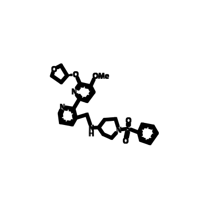 COc1ccc(-c2ncccc2CNC2CCN(S(=O)(=O)c3ccccc3)CC2)nc1O[C@@H]1CCOC1